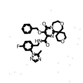 Cc1ncnn1-c1cc(F)ccc1CNC(=O)c1nc2n(c(=O)c1OCc1ccccc1)CCOCC21CCOCC1